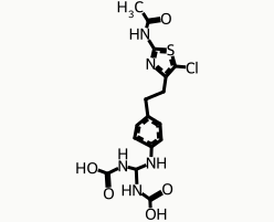 CC(=O)Nc1nc(CCc2ccc(NC(NC(=O)O)NC(=O)O)cc2)c(Cl)s1